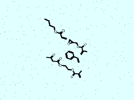 C=C(C)C(=O)OCC1CO1.C=C(C)C(=O)OCCOC(=O)CC(C)=O.C=CC(=O)OCCCC.C=Cc1ccccc1